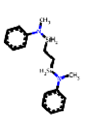 CN([SiH2]CC[SiH2]N(C)c1ccccc1)c1ccccc1